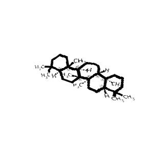 CC1(C)CCC[C@]2(C)[C@H]3CC[C@@H]4[C@@]5(C)CCCC(C)(C)[C@@H]5CC[C@@]4(C)[C@]3(C)CC[C@@H]12